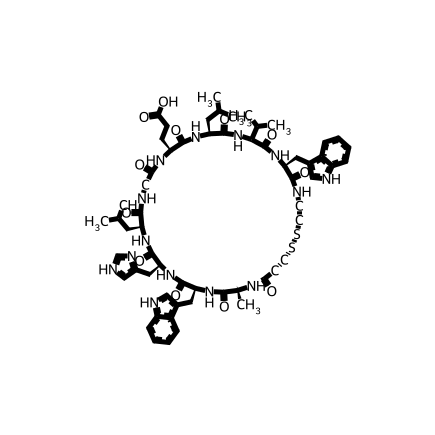 CC(C)C[C@@H]1NC(=O)[C@H](Cc2c[nH]cn2)NC(=O)[C@H](Cc2c[nH]c3ccccc23)NC(=O)[C@H](C)NC(=O)CCSSCCNC(=O)[C@H](Cc2c[nH]c3ccccc23)NC(=O)C(C(C)C)NC(=O)[C@H](CC(C)C)NC(=O)[C@H](CCC(=O)O)NC(=O)CNC1=O